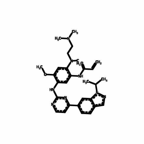 C=CC(=O)Nc1cc(Nc2nccc(-c3ccc4cnn(C(C)C)c4c3)n2)c(OC)cc1N(C)CCN(C)C